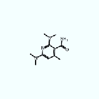 Cc1cc(N(C)C)nc(N(C)C)c1C(N)=O